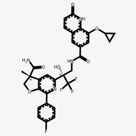 C[C@]1(C(N)=O)COc2c1cc([C@@](O)(CNC(=O)c1cc(OC3CC3)c3[nH]c(=O)ccc3c1)C(F)(F)F)nc2-c1ccc(F)cc1